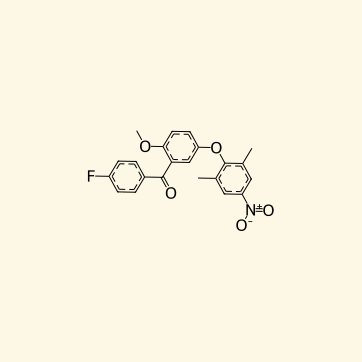 COc1ccc(Oc2c(C)cc([N+](=O)[O-])cc2C)cc1C(=O)c1ccc(F)cc1